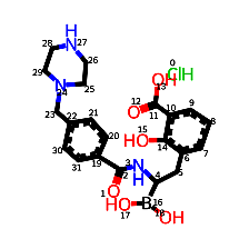 Cl.O=C(NC(Cc1cccc(C(=O)O)c1O)B(O)O)c1ccc(CN2CCNCC2)cc1